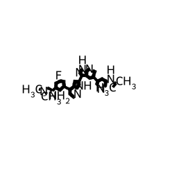 CC(C)Nc1cncc(-c2cnc3[nH]nc(-c4cc5c(-c6cc(F)cc(C(N)CN(C)C)c6)ccnc5[nH]4)c3c2)c1